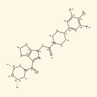 C[C@@H]1CN(C(=O)c2nn(CC(=O)N3CCC(c4cc(F)c(Cl)c(F)c4)CC3)c3c2CCC3)C[C@H](C)O1